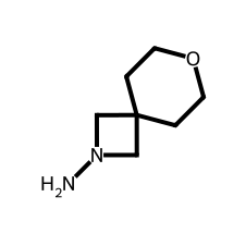 NN1CC2(CCOCC2)C1